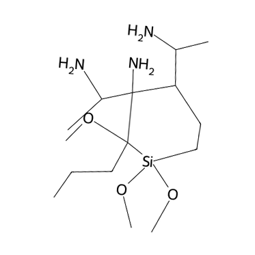 CCCC1(OC)C(N)(C(C)N)C(C(C)N)CC[Si]1(OC)OC